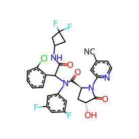 N#Cc1ccnc(N2C(=O)[C@H](O)C[C@H]2C(=O)N(c2cc(F)cc(F)c2)C(C(=O)NC2CC(F)(F)C2)c2ccccc2Cl)c1